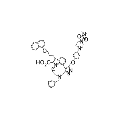 CN(C)S(=O)(=O)N1CCN(c2ccc(OCc3nn(C)c4c3-c3cccc5c(CCCOc6cccc7ccccc67)c(C(=O)O)n(c35)CCCN(Cc3ccccc3)C4)cc2)CC1